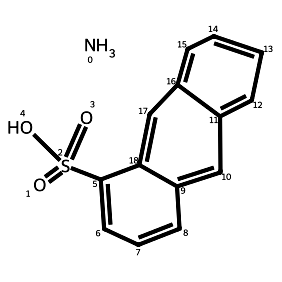 N.O=S(=O)(O)c1cccc2cc3ccccc3cc12